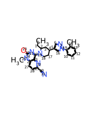 CCC1CC(c2cnn(-c3ccccc3C)c2)CCN1c1nc(=O)n(C)c2ccc(C#N)nc12